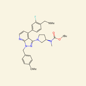 CNCc1ccc(-c2ccnc3c2c(N2CC[C@@H](N(C)C(=O)OC(C)(C)C)C2)nn3Cc2ccc(OC)cc2)cc1F